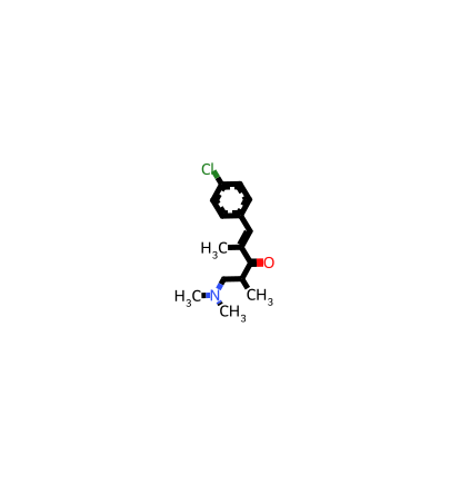 C/C(=C\c1ccc(Cl)cc1)C(=O)C(C)CN(C)C